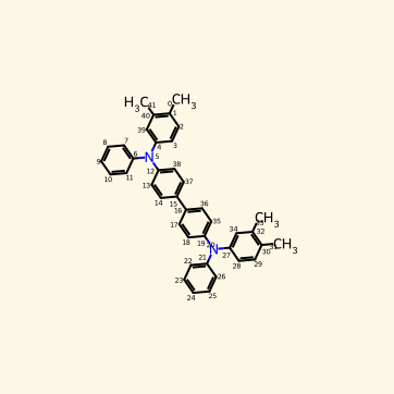 Cc1ccc(N(c2ccccc2)c2ccc(-c3ccc(N(c4ccccc4)c4ccc(C)c(C)c4)cc3)cc2)cc1C